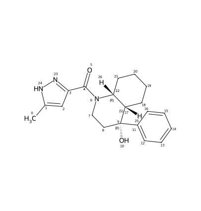 Cc1cc(C(=O)N2CC[C@](O)(c3ccccc3)[C@H]3CCCC[C@H]32)n[nH]1